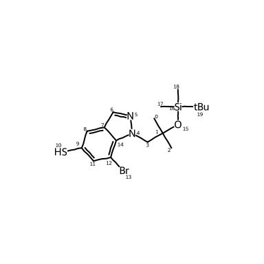 CC(C)(Cn1ncc2cc(S)cc(Br)c21)O[Si](C)(C)C(C)(C)C